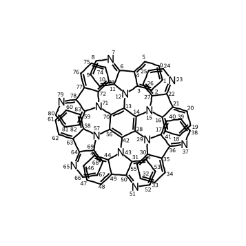 c1ccc2c(c1)c1ncccc1n2-c1c(-n2c3ccccc3c3ncccc32)c(-n2c3ccccc3c3ncccc32)c(-n2c3ccccc3c3ncccc32)c(-n2c3ccccc3c3ncccc32)c1-n1c2ccccc2c2ncccc21